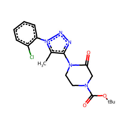 Cc1c(N2CCN(C(=O)OC(C)(C)C)CC2=O)nnn1-c1ccccc1Cl